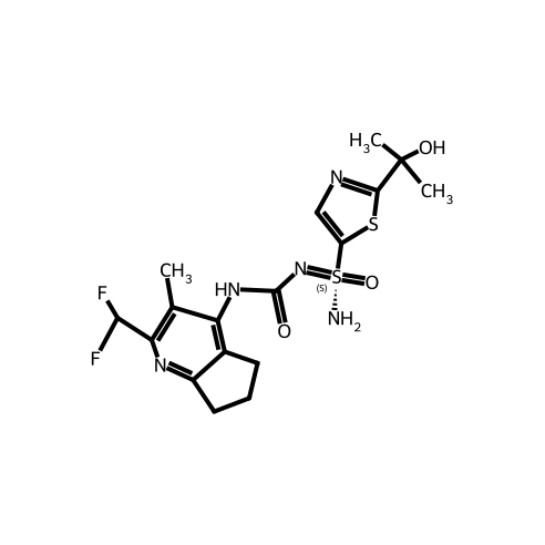 Cc1c(C(F)F)nc2c(c1NC(=O)N=[S@](N)(=O)c1cnc(C(C)(C)O)s1)CCC2